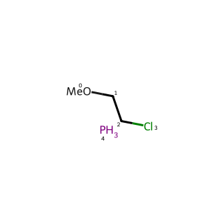 COCCCl.P